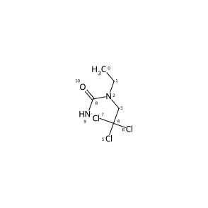 CCN(CC(Cl)(Cl)Cl)C([NH])=O